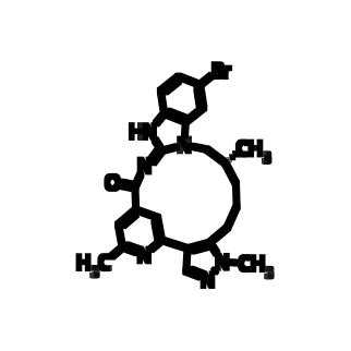 Cc1cc2cc(n1)-c1cnn(C)c1CCC[C@@H](C)CN1C(=NC2=O)Nc2ccc(Br)cc21